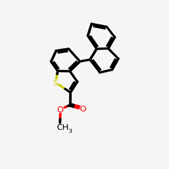 COC(=O)c1cc2c(-c3cccc4ccccc34)cccc2s1